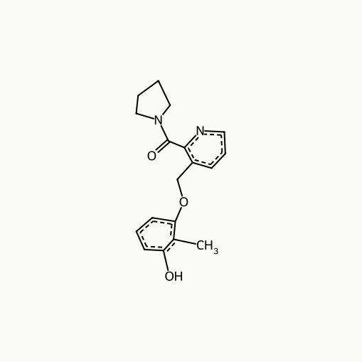 Cc1c(O)cccc1OCc1cccnc1C(=O)N1CCCC1